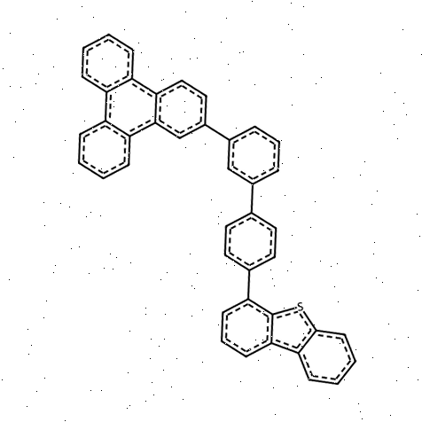 c1cc(-c2ccc(-c3cccc4c3sc3ccccc34)cc2)cc(-c2ccc3c4ccccc4c4ccccc4c3c2)c1